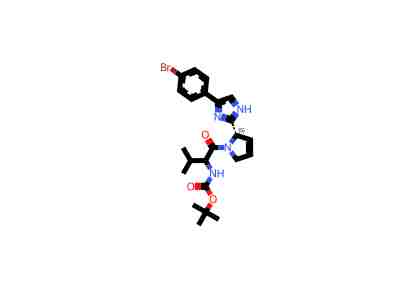 CC(C)C(NC(=O)OC(C)(C)C)C(=O)N1CC=C[C@H]1c1nc(-c2ccc(Br)cc2)c[nH]1